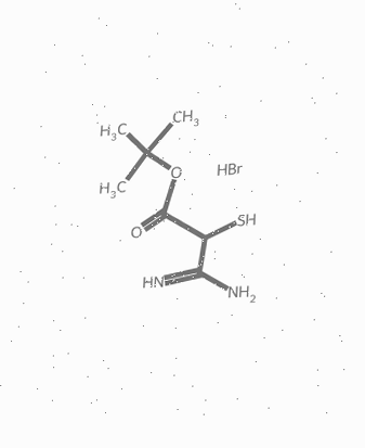 Br.CC(C)(C)OC(=O)C(S)C(=N)N